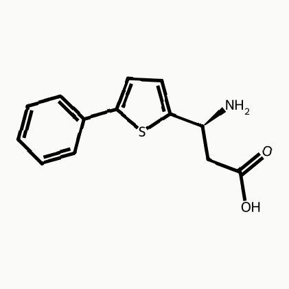 N[C@@H](CC(=O)O)c1ccc(-c2ccccc2)s1